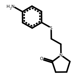 Nc1ccc(SCCN2CCCC2=O)cc1